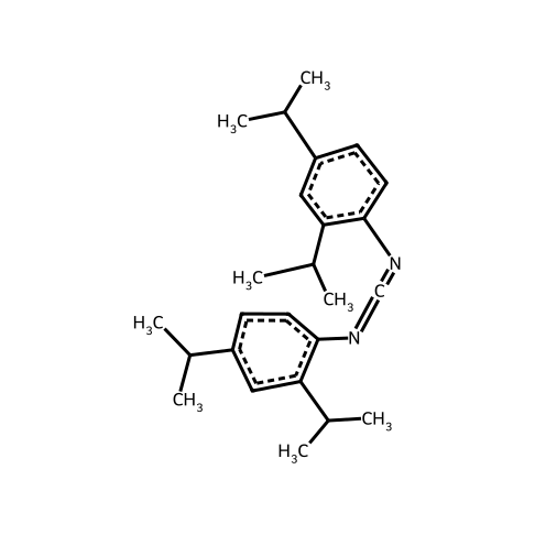 CC(C)c1ccc(N=C=Nc2ccc(C(C)C)cc2C(C)C)c(C(C)C)c1